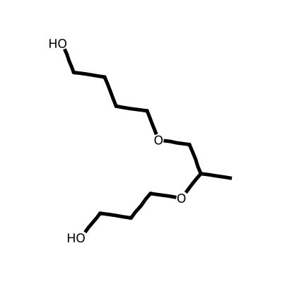 CC(COCCCCO)OCCCO